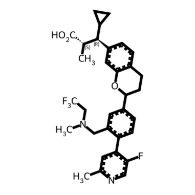 Cc1cc(-c2ccc(C3CCc4ccc([C@H](C5CC5)[C@H](C)C(=O)O)cc4O3)cc2CN(C)CC(F)(F)F)c(F)cn1